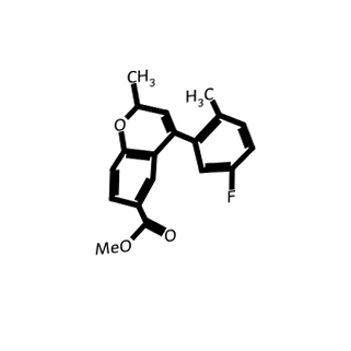 COC(=O)c1ccc2c(c1)C(c1cc(F)ccc1C)=CC(C)O2